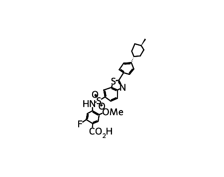 COc1cc(C(=O)O)c(F)cc1NS(=O)(=O)c1ccc2nc(-c3ccc([C@H]4CC[C@H](C)CC4)cc3)sc2c1